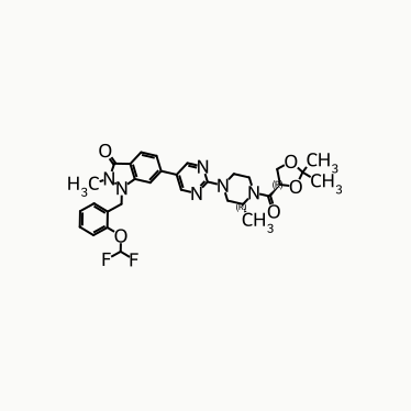 C[C@@H]1CN(c2ncc(-c3ccc4c(=O)n(C)n(Cc5ccccc5OC(F)F)c4c3)cn2)CCN1C(=O)[C@H]1COC(C)(C)O1